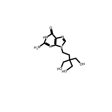 Nc1nc2c(ncn2CCC(CO)(CO)CO)c(=O)[nH]1